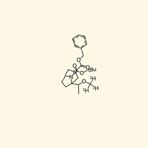 [2H]C([2H])([2H])OC(C)C12CCC(CN(C(=O)OCc3ccccc3)C1)N2C(=O)OC(C)(C)C